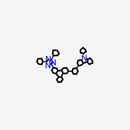 c1ccc(-c2nc(-c3ccccc3)nc(-c3ccc4c5ccccc5c5cc(-c6cccc(-c7ccc8c(c7)c7ccccc7n8-c7ccccc7)c6)ccc5c4c3)n2)cc1